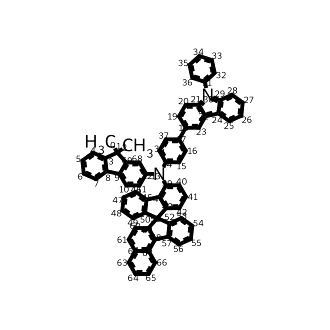 CC1(C)c2ccccc2-c2ccc(N(c3ccc(-c4ccc5c(c4)c4ccccc4n5-c4ccccc4)cc3)c3cccc4c3-c3ccccc3C43c4ccccc4-c4c3ccc3ccccc43)cc21